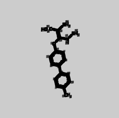 Cc1ccc(-c2ccc(O/C(NN)=C(/N)C(=O)O)cc2)cc1